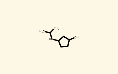 CC(C)NC1CCC(O)C1